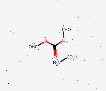 NC(=O)O.O=COC(=O)OC=O